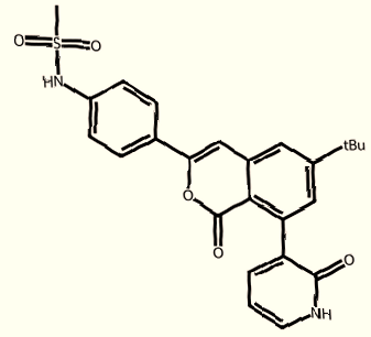 CC(C)(C)c1cc(-c2ccc[nH]c2=O)c2c(=O)oc(-c3ccc(NS(C)(=O)=O)cc3)cc2c1